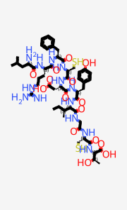 CC[C@H](C)[C@H](NC(=O)[C@H](Cc1ccc(O)cc1)NC(=O)[C@H](CC(=O)O)NC(=O)[C@H](CS)NC(=O)[C@H](Cc1ccccc1)NC(=O)[C@H](CCCNC(=N)N)NC(=O)[C@@H](N)CC(C)C)C(=O)NCC(=O)N[C@@H](CS)C(=O)N[C@H](C(=O)O)[C@@H](C)O